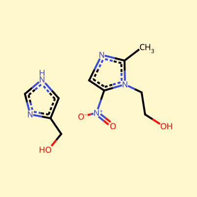 Cc1ncc([N+](=O)[O-])n1CCO.OCc1c[nH]cn1